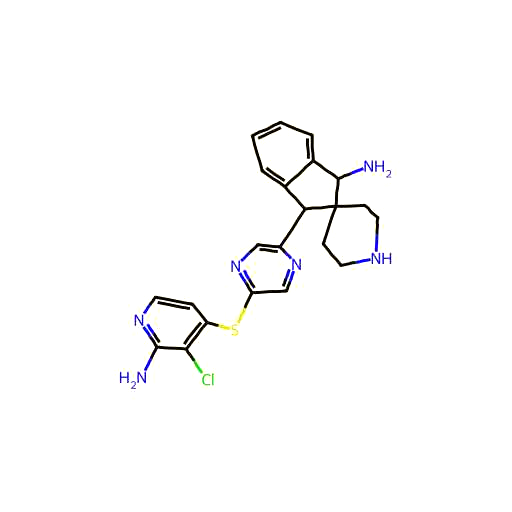 Nc1nccc(Sc2cnc(C3c4ccccc4C(N)C34CCNCC4)cn2)c1Cl